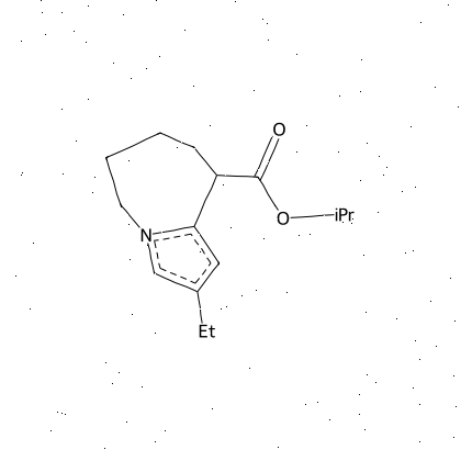 CCc1cc2n(c1)CCCCC2C(=O)OC(C)C